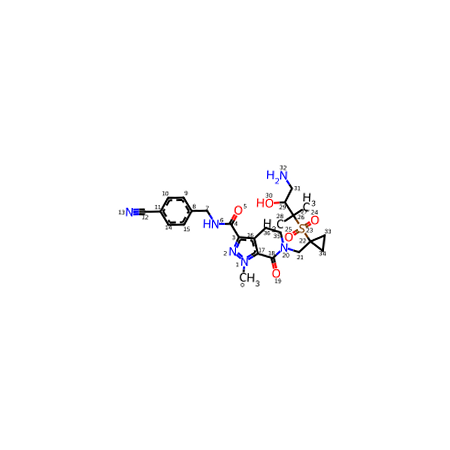 Cn1nc(C(=O)NCc2ccc(C#N)cc2)c2c1C(=O)N(CC1(S(=O)(=O)C(C)(C)C(O)CN)CC1)CC2